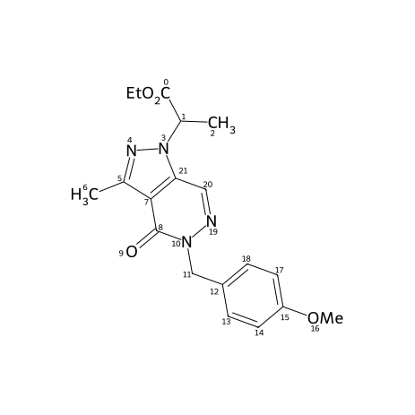 CCOC(=O)C(C)n1nc(C)c2c(=O)n(Cc3ccc(OC)cc3)ncc21